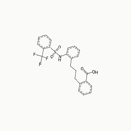 O=C(O)c1ccccc1CCCc1ccccc1NS(=O)(=O)c1ccccc1C(F)(F)F